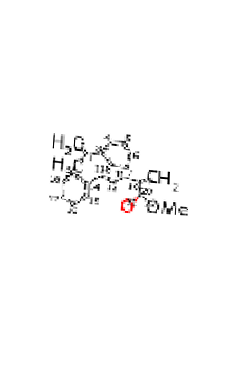 C=C(C)c1ccccc1.C=C(CC=Cc1ccccc1)C(=O)OC